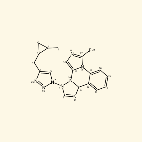 CC1CC1Cc1cn(N2C=NC3c4ccccc4-n4c(cnc4F)N32)nn1